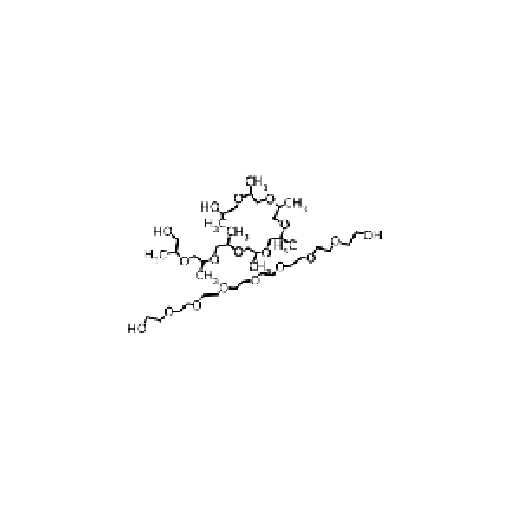 CC(O)COC(C)COC(C)COC(C)COC(C)COC(C)COC(C)COC(C)CO.OCCOCCOCCOCCOCCOCCOCCOCCO